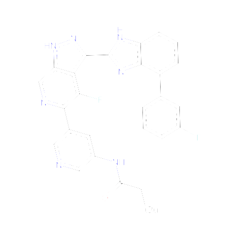 CC(C)(C)CC(=O)Nc1cncc(-c2ncc3[nH]nc(-c4nc5c(-c6cccc(F)c6)cccc5[nH]4)c3c2F)c1